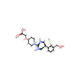 O=C(O)COC1CCN(c2ncc(-c3cccc(CO)c3F)cn2)CC1